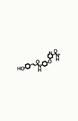 CNC(=O)c1cc(Oc2ccc(NC(=O)C=Cc3ccc(O)cc3)cc2)ccn1